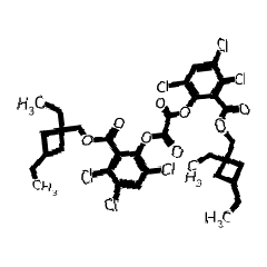 CCC1CC(CC)(COC(=O)c2c(Cl)c(Cl)cc(Cl)c2OC(=O)C(=O)Oc2c(Cl)cc(Cl)c(Cl)c2C(=O)OCC2(CC)CC(CC)C2)C1